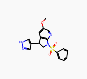 COc1cnc2c(c1)C(c1cn[nH]c1)CN2S(=O)(=O)c1ccccc1